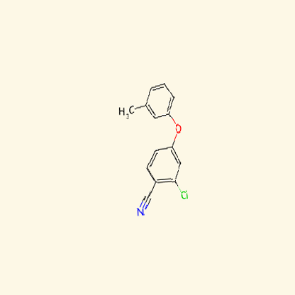 Cc1cccc(Oc2ccc(C#N)c(Cl)c2)c1